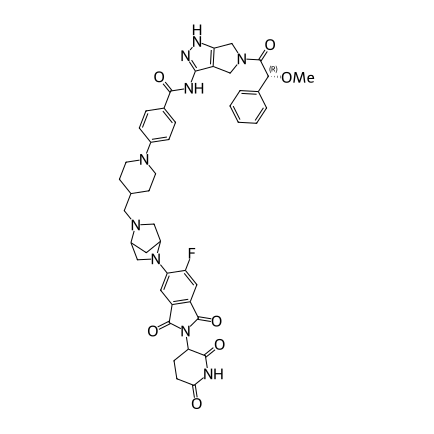 CO[C@@H](C(=O)N1Cc2[nH]nc(NC(=O)c3ccc(N4CCC(CN5CC6CC5CN6c5cc6c(cc5F)C(=O)N(C5CCC(=O)NC5=O)C6=O)CC4)cc3)c2C1)c1ccccc1